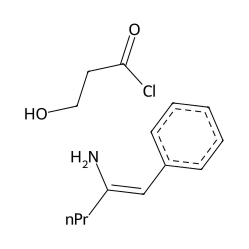 CCCC(N)=Cc1ccccc1.O=C(Cl)CCO